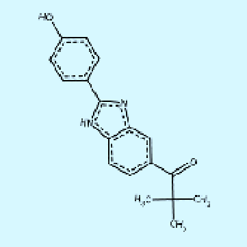 CC(C)(C)C(=O)c1ccc2[nH]c(-c3ccc(O)cc3)nc2c1